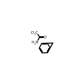 NC(=O)C(Cl)(Cl)Cl.c1ccc2c(c1)C2